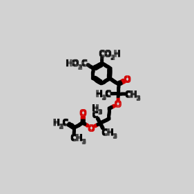 C=C(C)C(=O)OC(C)(C)CCOC(C)(C)C(=O)c1ccc(C(=O)O)c(C(=O)O)c1